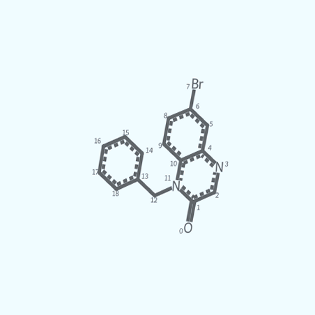 O=c1cnc2cc(Br)ccc2n1Cc1ccccc1